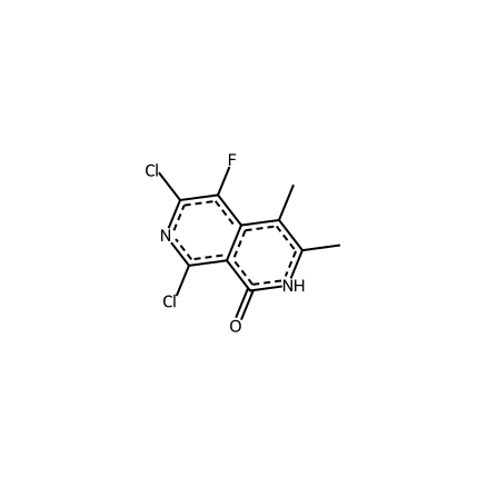 Cc1[nH]c(=O)c2c(Cl)nc(Cl)c(F)c2c1C